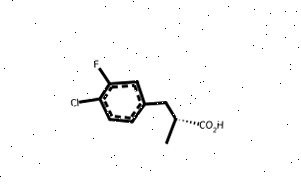 C[C@H](Cc1ccc(Cl)c(F)c1)C(=O)O